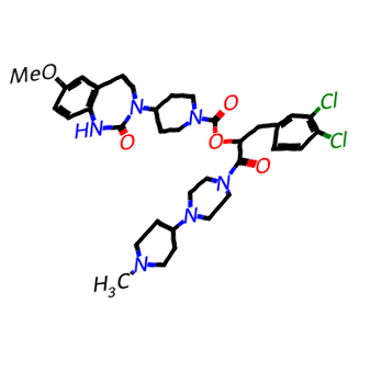 COc1ccc2c(c1)CCN(C1CCN(C(=O)OC(Cc3ccc(Cl)c(Cl)c3)C(=O)N3CCN(C4CCN(C)CC4)CC3)CC1)C(=O)N2